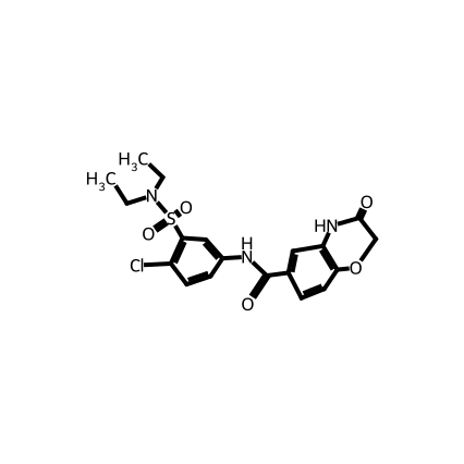 CCN(CC)S(=O)(=O)c1cc(NC(=O)c2ccc3c(c2)NC(=O)CO3)ccc1Cl